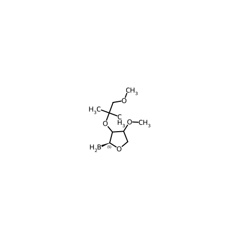 B[C@@H]1OCC(OC)C1OC(C)(C)COC